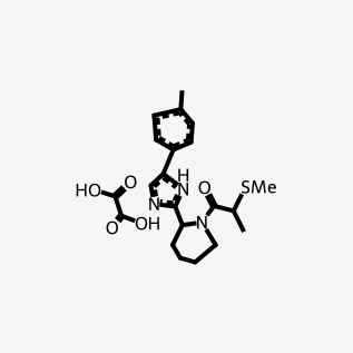 CSC(C)C(=O)N1CCCCC1c1ncc(-c2ccc(C)cc2)[nH]1.O=C(O)C(=O)O